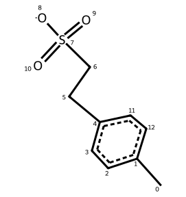 Cc1ccc(CCS([O])(=O)=O)cc1